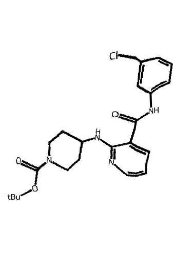 CC(C)(C)OC(=O)N1CCC(Nc2ncccc2C(=O)Nc2cccc(Cl)c2)CC1